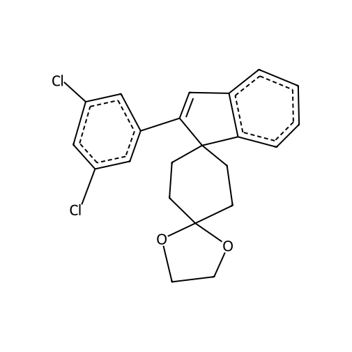 Clc1cc(Cl)cc(C2=Cc3ccccc3C23CCC2(CC3)OCCO2)c1